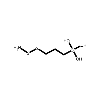 NSSCCC[Si](O)(O)O